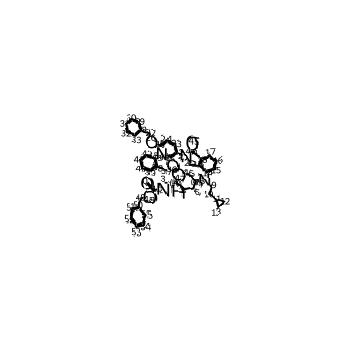 O=C(NC[C@H]1CC[C@@H](N(CCC2CC2)c2cccc3c2CN(c2ccc(OCc4ccccc4)nc2OCc2ccccc2)C3=O)CO1)OCc1ccccc1